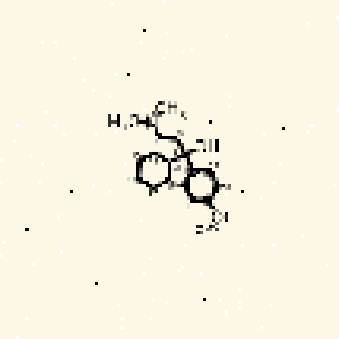 CC(C)Oc1ccc(C(O)(CCN(C)C)C2CCCCC2)cc1